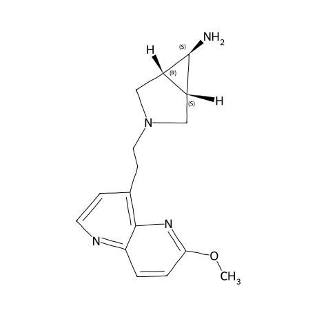 COc1ccc2nccc(CCN3C[C@@H]4[C@@H](N)[C@@H]4C3)c2n1